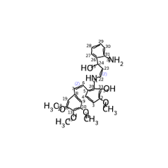 COc1ccc(/C=C\c2cc(OC)c(OC)c(OC)c2)c(N/C=C\C(O)c2ccccc2N)c1O